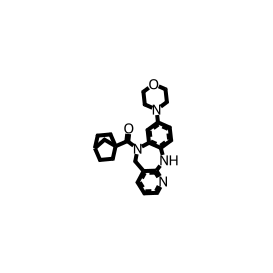 O=C(N1Cc2cccnc2Nc2ccc(N3CCOCC3)cc21)C12CCC(CC1)C2